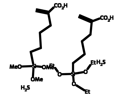 C=C(CCCC[Si](OC)(OC)OC)C(=O)O.C=C(CCCC[Si](OCC)(OCC)OCC)C(=O)O.S.S